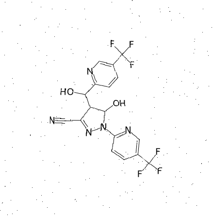 N#CC1=NN(c2ccc(C(F)(F)F)cn2)C(O)C1C(O)c1ccc(C(F)(F)F)cn1